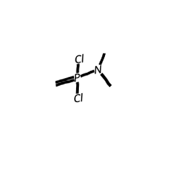 C=P(Cl)(Cl)N(C)C